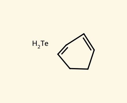 C1=CCCC=C1.[TeH2]